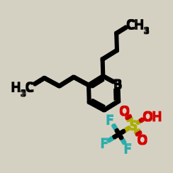 CCCCc1bcccc1CCCC.O=S(=O)(O)C(F)(F)F